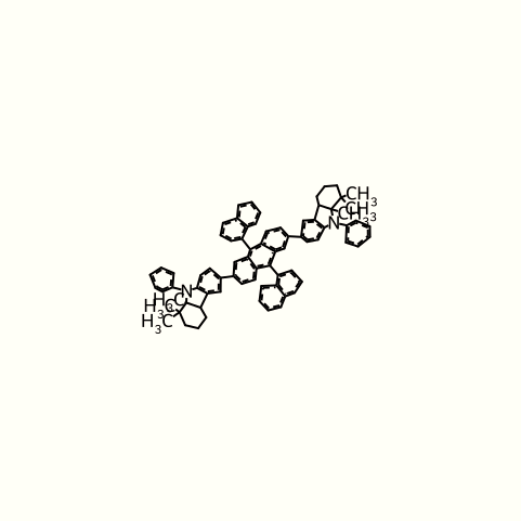 CC1(C)CCCC2c3cc(-c4ccc5c(-c6cccc7ccccc67)c6cc(-c7ccc8c(c7)C7CCCC(C)(C)C7(C)N8c7ccccc7)ccc6c(-c6cccc7ccccc67)c5c4)ccc3N(c3ccccc3)C21C